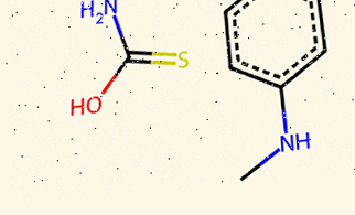 CNc1ccccc1.NC(O)=S